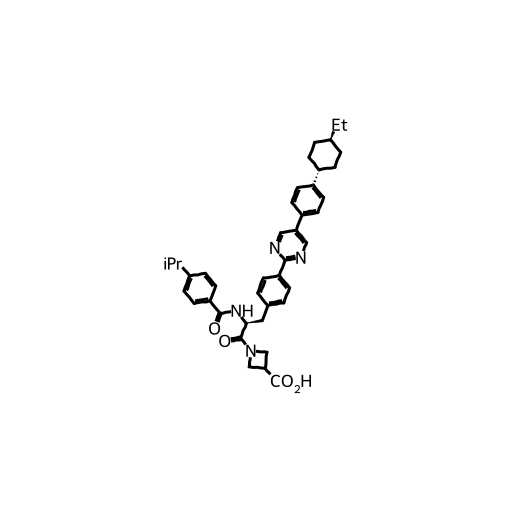 CC[C@H]1CC[C@H](c2ccc(-c3cnc(-c4ccc(C[C@H](NC(=O)c5ccc(C(C)C)cc5)C(=O)N5CC(C(=O)O)C5)cc4)nc3)cc2)CC1